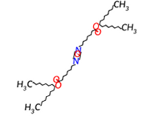 CCCCCCCCC(CCCCCCCC)OC(=O)CCCCCCCN1CC2CN(CCCCCCCC(=O)OC(CCCCCCCC)CCCCCCCC)CC(C1)O2